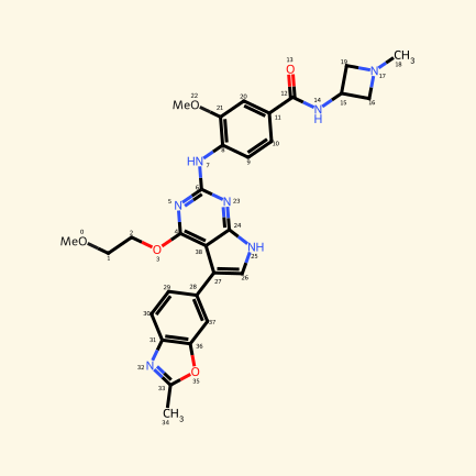 COCCOc1nc(Nc2ccc(C(=O)NC3CN(C)C3)cc2OC)nc2[nH]cc(-c3ccc4nc(C)oc4c3)c12